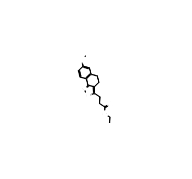 CCOC(=O)CCc1onc2c1CCc1cc(OC)ccc1-2